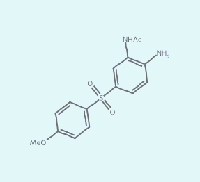 COc1ccc(S(=O)(=O)c2ccc(N)c(NC(C)=O)c2)cc1